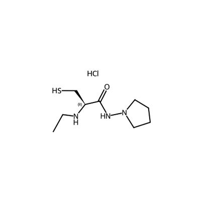 CCN[C@@H](CS)C(=O)NN1CCCC1.Cl